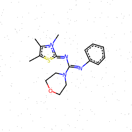 Cc1sc(=NC(=Nc2ccccc2)N2CCOCC2)n(C)c1C